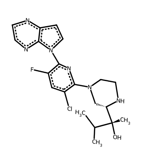 CC(C)[C@@](C)(O)[C@@H]1CN(c2nc(-n3ccc4nccnc43)c(F)cc2Cl)CCN1